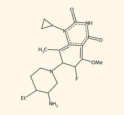 CCC1CCN(C2C(C)=c3c(c(=O)[nH]c(=O)n3C3CC3)=C(OC)C2F)CC1N